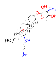 C[C@@H]1O[C@@H](O[C@H]2CC[C@@]3(C)[C@H](CC[C@@H]4[C@@H]3CC[C@]3(C)[C@@H]5CC[C@]43O[C@@H](NCCCN(C)C)[C@H]5CC(=O)O)C2)[C@H](O)[C@@H](N)[C@H]1O